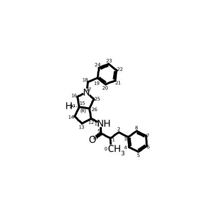 CC(Cc1ccccc1)C(=O)NC1CC[C@H]2CN(Cc3ccccc3)CC12